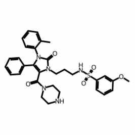 COc1cccc(S(=O)(=O)NCCCn2c(C(=O)N3CCNCC3)c(-c3ccccc3)n(-c3ccccc3C)c2=O)c1